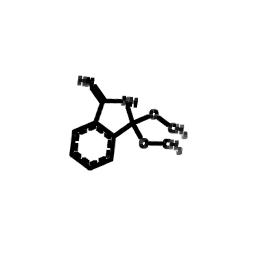 COC1(OC)NC(=N)c2ccccc21